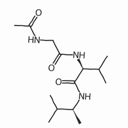 CC(=O)NCC(=O)N[C@H](C(=O)N[C@@H](C)C(C)C)C(C)C